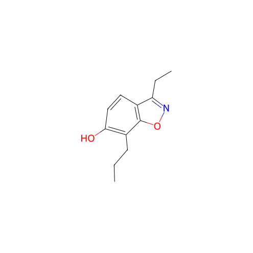 CCCc1c(O)ccc2c(CC)noc12